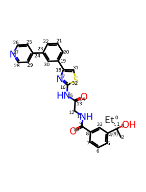 CC[C@@](C)(O)c1cccc(C(=O)NCC(=O)Nc2nc(-c3cccc(-c4ccncc4)c3)cs2)c1